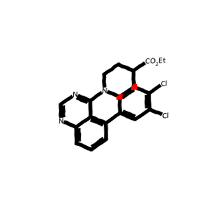 CCOC(=O)C1CCN(c2ncnc3cccc(-c4ccc(Cl)c(Cl)c4)c23)CC1